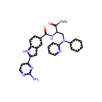 COC(=O)C(CN(c1ccccc1)c1ccccn1)NC(=O)c1ccc2[nH]c(-c3ccnc(N)n3)cc2c1